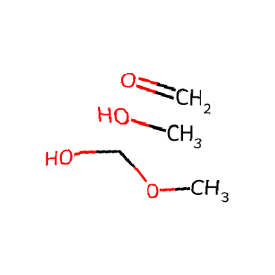 C=O.CO.COCO